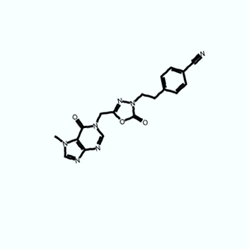 Cn1cnc2ncn(Cc3nn(CCc4ccc(C#N)cc4)c(=O)o3)c(=O)c21